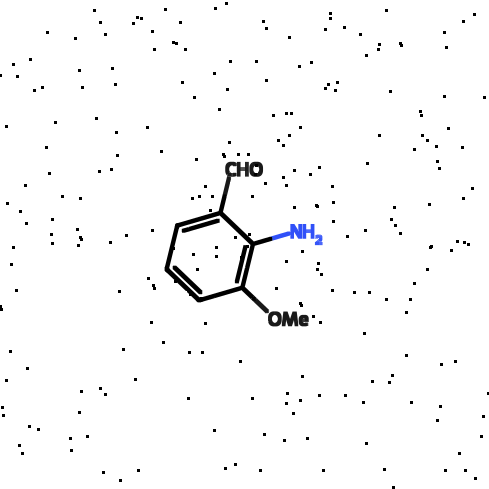 COc1cccc(C=O)c1N